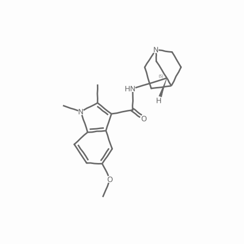 COc1ccc2c(c1)c(C(=O)N[C@@H]1CN3CCC1CC3)c(C)n2C